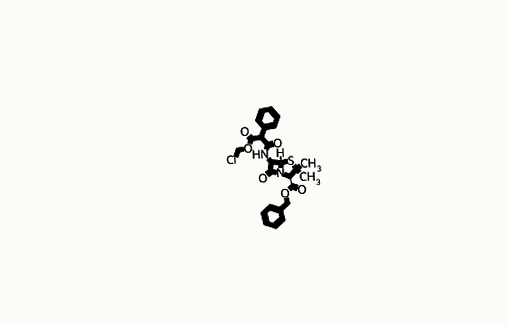 CC1(C)S[C@@H]2C(NC(=O)C(C(=O)OCCl)c3ccccc3)C(=O)N2[C@H]1C(=O)OCc1ccccc1